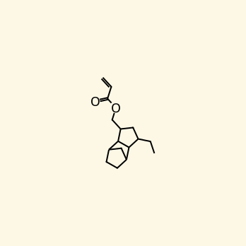 C=CC(=O)OCC1CC(CC)C2C3CCC(C3)C12